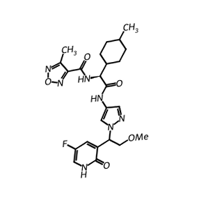 COCC(c1cc(F)c[nH]c1=O)n1cc(NC(=O)[C@@H](NC(=O)c2nonc2C)C2CCC(C)CC2)cn1